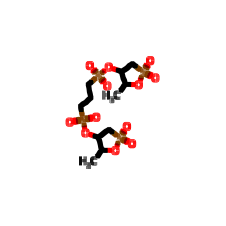 CC1OS(=O)(=O)CC1OS(=O)(=O)CCCS(=O)(=O)OC1CS(=O)(=O)OC1C